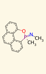 CN=P1(C)Oc2cccc3ccc4cccc1c4c23